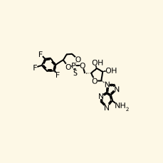 Nc1ncnc2c1ncn2[C@@H]1O[C@H](COP2(=S)OCCC(c3cc(F)c(F)cc3F)O2)[C@@H](O)[C@H]1O